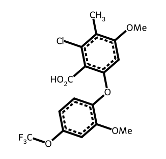 COc1cc(OC(F)(F)F)ccc1Oc1cc(OC)c(C)c(Cl)c1C(=O)O